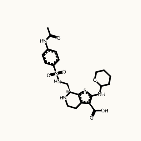 CC(=O)Nc1ccc(S(=O)(=O)NC[C@@H]2NCCc3c2sc(NC2CCCCO2)c3C(=O)O)cc1